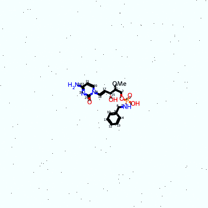 COC(COP(=O)(O)NCc1ccccc1)[C@H](O)/C=C/n1ccc(N)nc1=O